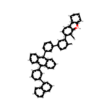 Cc1ccc(-c2cccc(-c3c4ccccc4c(-c4cccc(-c5cccc6ccccc56)c4)c4ccccc34)c2)cc1-c1ccc2c(oc3ccccc32)c1C